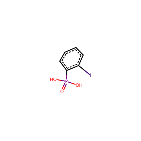 O=P(O)(O)c1ccccc1I